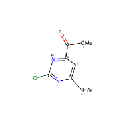 COC(=O)c1cc(NC(C)=O)nc(Cl)n1